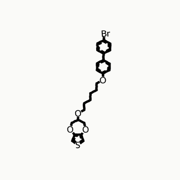 Brc1ccc(-c2ccc(OCCCCCCOC3COc4cscc4OC3)cc2)cc1